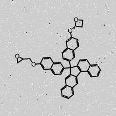 c1ccc2cc3c(cc2c1)-c1c(ccc2ccccc12)C3(c1ccc2cc(OCC3CO3)ccc2c1)c1ccc2cc(OC3CCO3)ccc2c1